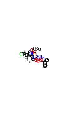 CN(CC(Cc1ccc(Cl)cc1)N(C)C(=O)OC(C)(C)C)C(=O)C(CC(=O)O)NC(=O)OCC1c2ccccc2-c2ccccc21